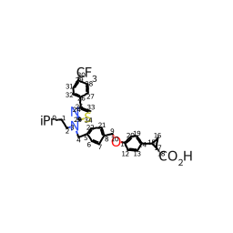 CC(C)CCN(Cc1ccc(COc2ccc(C3CC3C(=O)O)cc2)cc1)c1nc(-c2ccc(C(F)(F)F)cc2)cs1